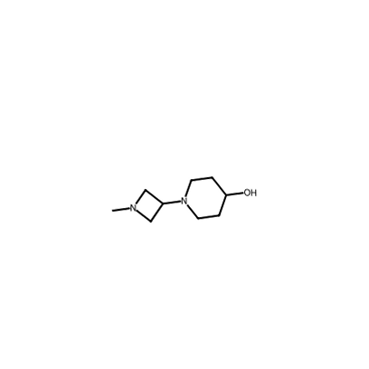 CN1CC(N2CCC(O)CC2)C1